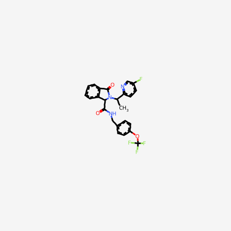 CC(c1ccc(F)cn1)N1C(=O)c2ccccc2C1C(=O)NCc1ccc(OC(F)(F)F)cc1